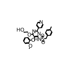 COc1ccccc1Oc1c(NS(=O)(=O)Cc2ccc(C)cc2)nc(-c2ccncc2)nc1OCCO